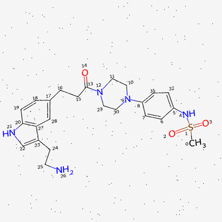 CS(=O)(=O)Nc1ccc(N2CCN(C(=O)CCc3ccc4[nH]cc(CCN)c4c3)CC2)cc1